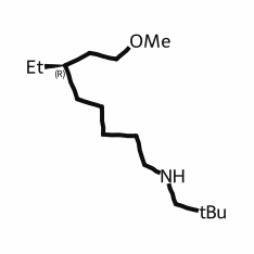 CC[C@H](CCCCCNCC(C)(C)C)CCOC